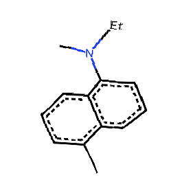 CCN(C)c1cccc2c(C)cccc12